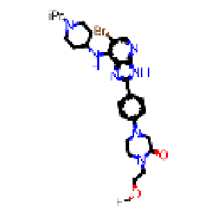 CCOCCN1CCN(c2ccc(-c3nc4c(NC5CCN(C(C)C)CC5)c(Br)cnc4[nH]3)cc2)CC1=O